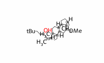 CO[C@@H]1C[C@H]2[C@@H]3CC[C@H]([C@H](C)C(O)CCC(C)(C)C)[C@@]3(C)CC[C@@H]2[C@@]2(C)CC[C@H]3C[C@]312